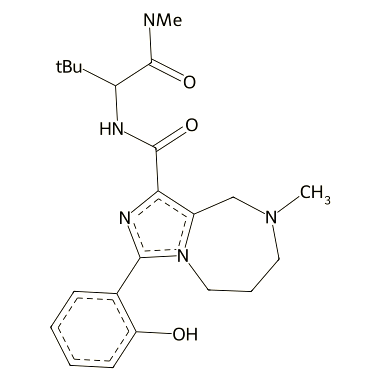 CNC(=O)C(NC(=O)c1nc(-c2ccccc2O)n2c1CN(C)CCC2)C(C)(C)C